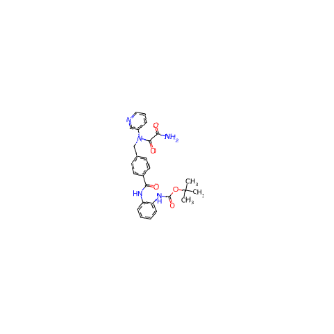 CC(C)(C)OC(=O)Nc1ccccc1NC(=O)c1ccc(CN(C(=O)C(N)=O)c2cccnc2)cc1